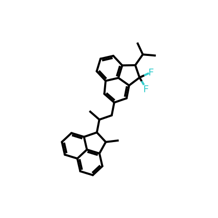 CC(C)C1c2cccc3cc(CC(C)C4c5cccc6cccc(c56)C4C)cc(c23)C1(F)F